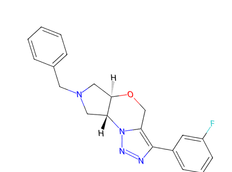 Fc1cccc(-c2nnn3c2CO[C@@H]2CN(Cc4ccccc4)C[C@H]23)c1